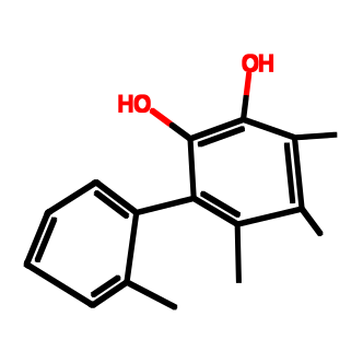 Cc1ccccc1-c1c(C)c(C)c(C)c(O)c1O